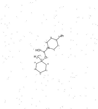 CC(C)C1CCN(C(O)OC2(C)CCCCC2)CC1